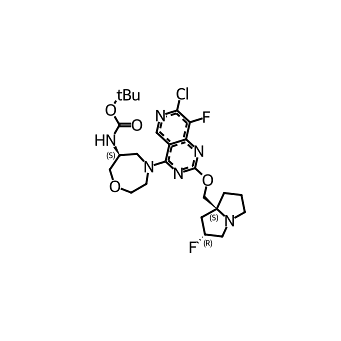 CC(C)(C)OC(=O)N[C@@H]1COCCN(c2nc(OC[C@@]34CCCN3C[C@H](F)C4)nc3c(F)c(Cl)ncc23)C1